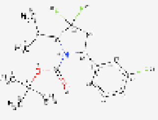 CC(C)C1N(C(=O)OC(C)(C)C)C(c2cccc(F)c2)CC1(F)F